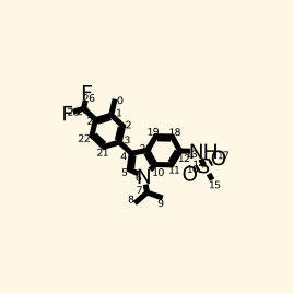 Cc1cc(-c2cn(C(C)C)c3cc(NS(C)(=O)=O)ccc23)ccc1C(F)F